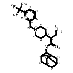 CCC(C(=O)NC1C2CC3CC(C2)CC1C3)C1CCN(Cc2cccc(C(F)(F)F)n2)CC1